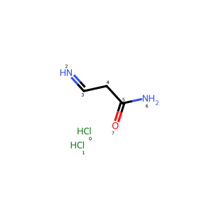 Cl.Cl.N=CCC(N)=O